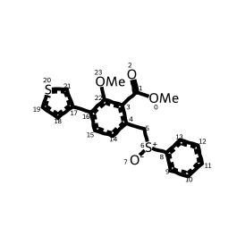 COC(=O)c1c(C[S+]([O-])c2ccccc2)ccc(-c2ccsc2)c1OC